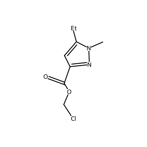 CCc1cc(C(=O)OCCl)nn1C